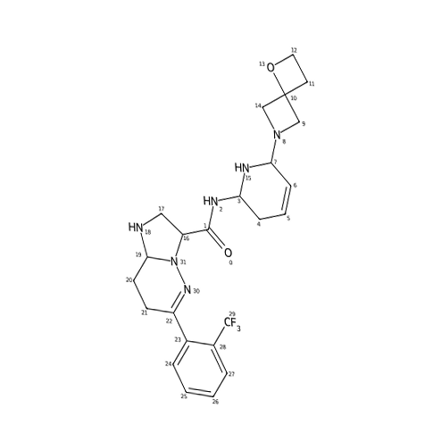 O=C(NC1CC=CC(N2CC3(CCO3)C2)N1)C1CNC2CCC(c3ccccc3C(F)(F)F)=NN21